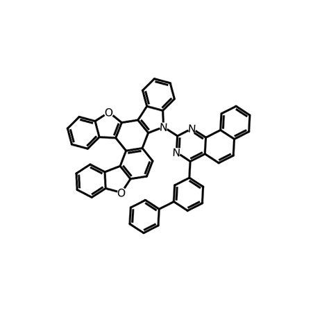 c1ccc(-c2cccc(-c3nc(-n4c5ccccc5c5c6oc7ccccc7c6c6c(ccc7oc8ccccc8c76)c54)nc4c3ccc3ccccc34)c2)cc1